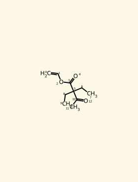 C=COC(=O)C(CC)(CC)C(C)=O